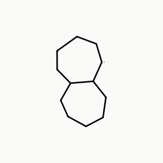 [CH]1CCCCC2CCCCCC12